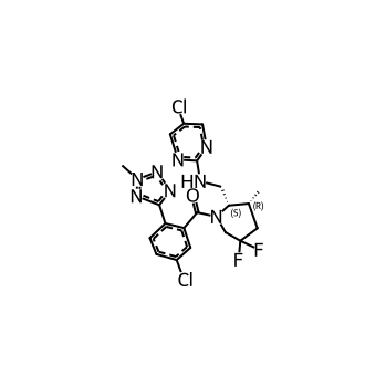 C[C@@H]1CC(F)(F)CN(C(=O)c2cc(Cl)ccc2-c2nnn(C)n2)[C@@H]1CNc1ncc(Cl)cn1